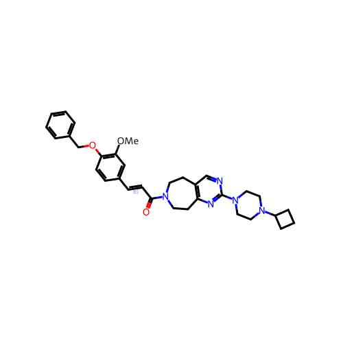 COc1cc(/C=C/C(=O)N2CCc3cnc(N4CCN(C5CCC5)CC4)nc3CC2)ccc1OCc1ccccc1